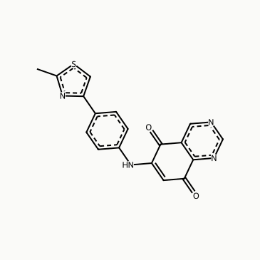 Cc1nc(-c2ccc(NC3=CC(=O)c4ncncc4C3=O)cc2)cs1